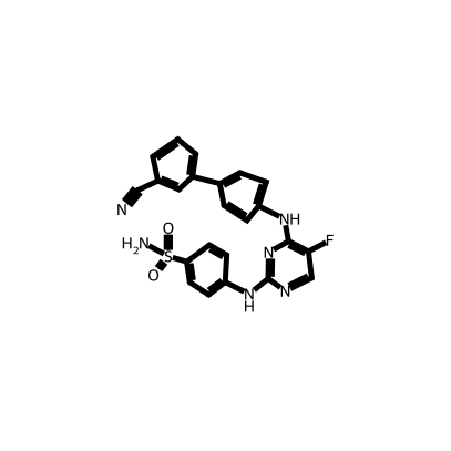 N#Cc1cccc(-c2ccc(Nc3nc(Nc4ccc(S(N)(=O)=O)cc4)ncc3F)cc2)c1